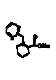 COC(=O)C1CCCCN1Cc1ccccn1